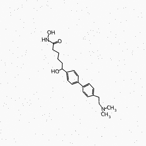 CN(C)CCc1ccc(-c2ccc(C(O)CCCCC(=O)NO)cc2)cc1